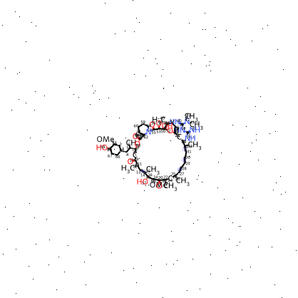 CO[C@@H]1C[C@@H](CC(C)[C@@H]2CC(=O)[C@H](C)/C=C(\C)[C@@H](O)[C@@H](OC)C(=O)[C@H](C)C[C@H](C)/C=C/C=C/C=C(/C)[C@@H](NC(=N)NC(=N)N(C)C)C[C@@H]3CC[C@@H](C)[C@@](O)(O3)C(=O)C(=O)N3CCCC[C@H]3C(=O)O2)CC[C@H]1O